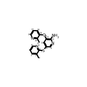 Cc1cccnc1Sc1cnc(N)c(Oc2cccnc2C)c1